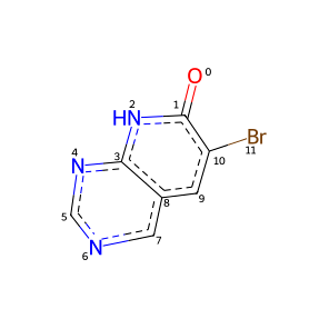 O=c1[nH]c2ncncc2cc1Br